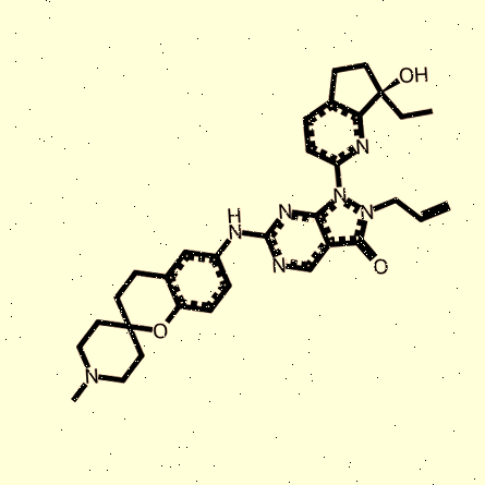 C=CCn1c(=O)c2cnc(Nc3ccc4c(c3)CCC3(CCN(C)CC3)O4)nc2n1-c1ccc2c(n1)[C@@](O)(CC)CC2